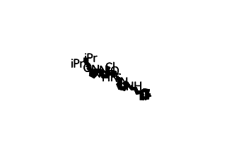 CC(C)C(COc1ccn(-c2ccc(C(=O)NSc3cccc(NCCCC4CCC(C)(C)N4C)n3)c(Cl)n2)n1)C(C)C